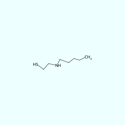 CCCC[CH]NCCS